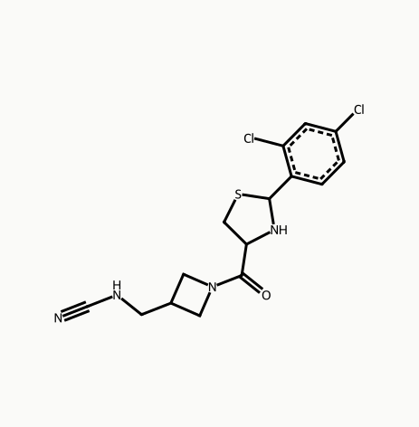 N#CNCC1CN(C(=O)C2CSC(c3ccc(Cl)cc3Cl)N2)C1